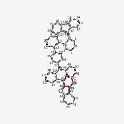 c1ccc(-c2ccccc2-n2c3ccccc3c3ccccc32)c(-c2ccc(N(c3ccccc3-c3cccc4c3oc3ccccc34)c3cccc4ccccc34)cc2)c1